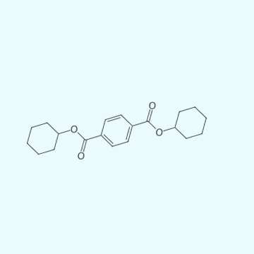 O=C(OC1CCCCC1)c1ccc(C(=O)OC2CCCCC2)cc1